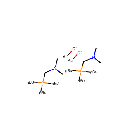 CC(=O)[O-].CC(=O)[O-].CCCC[P+](CCCC)(CCCC)CN(C)C.CCCC[P+](CCCC)(CCCC)CN(C)C